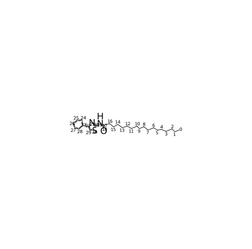 CCCCCCCCCCCCCCCCCC(=O)Nc1nc(-c2ccccc2)cs1